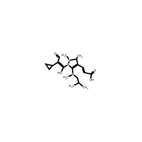 CC(C)CN(C)C1=C(/C=C/C(=O)O)C(C)N(C)N1/C(O)=C(\C=O)C1CC1